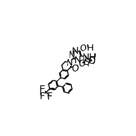 CS(=O)(=O)Nc1nc(N2CCc3cc(-c4ccc(C(F)(F)F)cc4-c4ccccc4)ccc3C2=O)nnc1O